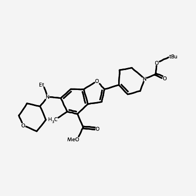 CCN(c1cc2oc(C3=CCN(C(=O)OC(C)(C)C)CC3)cc2c(C(=O)OC)c1C)C1CCOCC1